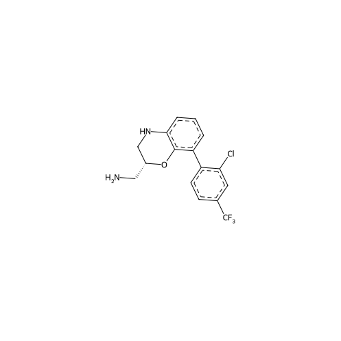 NC[C@@H]1CNc2cccc(-c3ccc(C(F)(F)F)cc3Cl)c2O1